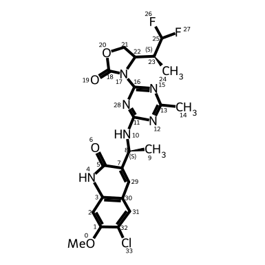 COc1cc2[nH]c(=O)c([C@H](C)Nc3nc(C)nc(N4C(=O)OCC4[C@H](C)C(F)F)n3)cc2cc1Cl